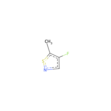 Cc1sncc1F